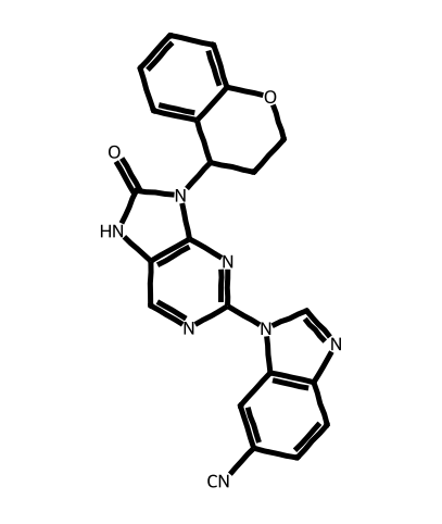 [C-]#[N+]c1ccc2ncn(-c3ncc4[nH]c(=O)n(C5CCOc6ccccc65)c4n3)c2c1